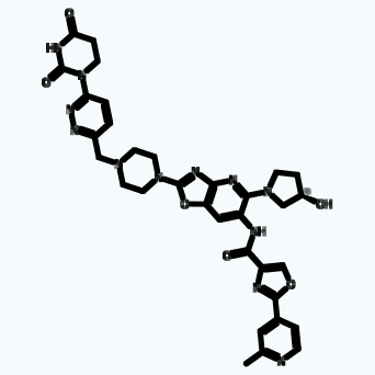 Cc1cc(-c2nc(C(=O)Nc3cc4oc(N5CCN(Cc6ccc(N7CCC(=O)NC7=O)nn6)CC5)nc4nc3N3CC[C@@H](O)C3)co2)ccn1